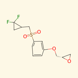 O=S(=O)(CC1CC1(F)F)c1cccc(OC[C@@H]2CO2)c1